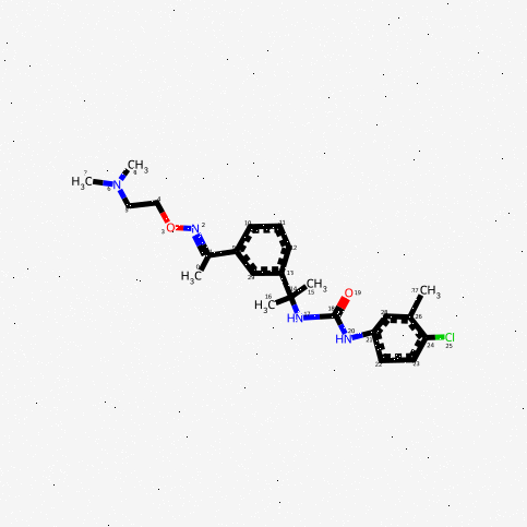 C/C(=N\OCCN(C)C)c1cccc(C(C)(C)NC(=O)Nc2ccc(Cl)c(C)c2)c1